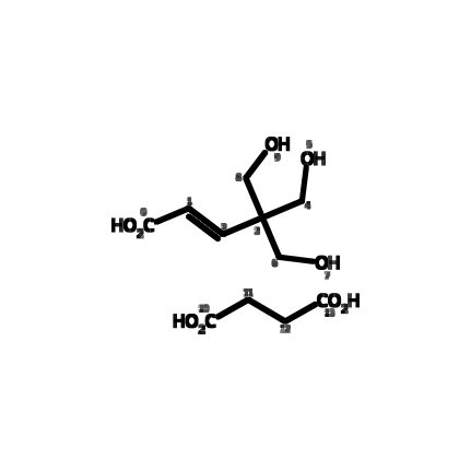 O=C(O)C=CC(CO)(CO)CO.O=C(O)CCC(=O)O